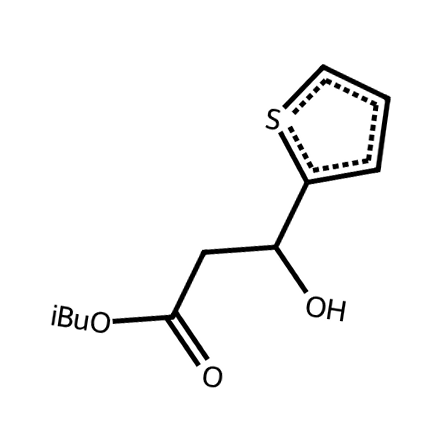 CC(C)COC(=O)CC(O)c1cccs1